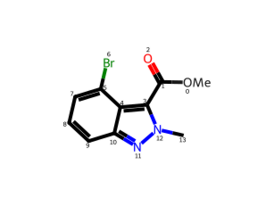 COC(=O)c1c2c(Br)cccc2nn1C